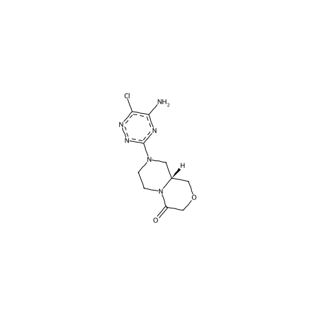 Nc1nc(N2CCN3C(=O)COC[C@H]3C2)nnc1Cl